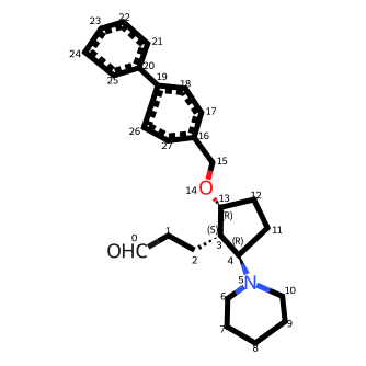 O=CCC[C@H]1[C@H](N2CCCCC2)CC[C@H]1OCc1ccc(-c2ccccc2)cc1